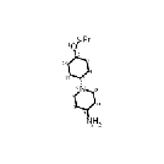 CC(C)O[C@H]1CC[C@H](N2CCC(N)CC2)CC1